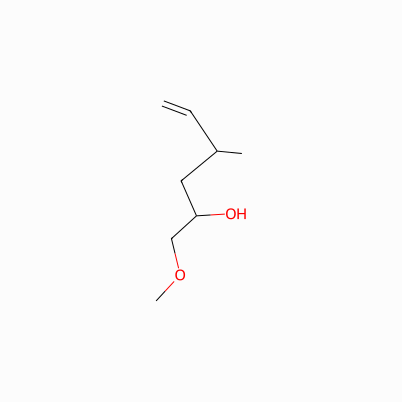 C=CC(C)CC(O)COC